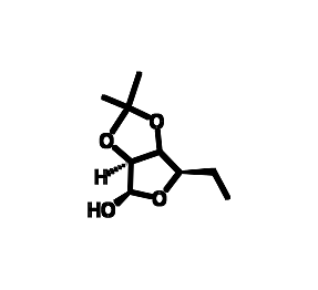 CC[C@H]1O[C@@H](O)[C@H]2OC(C)(C)OC12